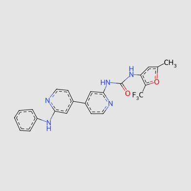 Cc1cc(NC(=O)Nc2cc(-c3ccnc(Nc4ccccc4)c3)ccn2)c(C(F)(F)F)o1